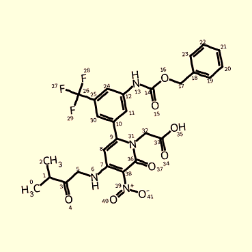 CC(C)C(=O)CNc1cc(-c2cc(NC(=O)OCc3ccccc3)cc(C(F)(F)F)c2)n(CC(=O)O)c(=O)c1[N+](=O)[O-]